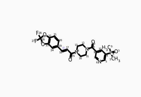 CP(C)(=O)c1cncc(C(=O)N2CCN(C(=O)/C=C/c3ccc4c(c3)OC(F)(F)O4)CC2)c1